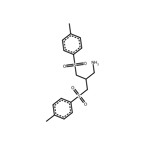 Cc1ccc(S(=O)(=O)CC(CN)CS(=O)(=O)c2ccc(C)cc2)cc1